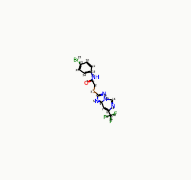 O=C(CSc1nc2cc(C(F)(F)F)ncn2n1)Nc1ccc(Br)cc1